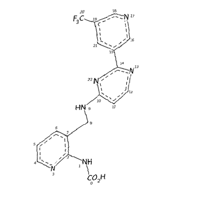 O=C(O)Nc1ncccc1CNc1ccnc(-c2cncc(C(F)(F)F)c2)n1